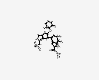 CCNC(=O)c1cc2c(-c3cc4c(cnn4CS(C)(=O)=O)cc3Oc3c(C)cccc3C)cn(C)c(=O)c2[nH]1